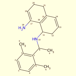 Cc1cccc(C)c1C(C)NC1CC=CC2=C1C(N)=CCC2